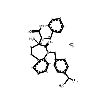 CC(C)c1ccc(CN2C(=O)[C@@](N)([C@H](Cc3ccccc3)C(=O)O)CCc3ccccc32)cc1.Cl